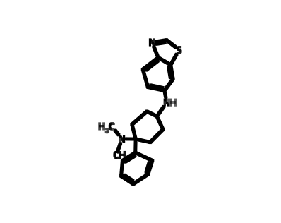 CN(C)C1(c2ccccc2)CCC(Nc2ccc3ncsc3c2)CC1